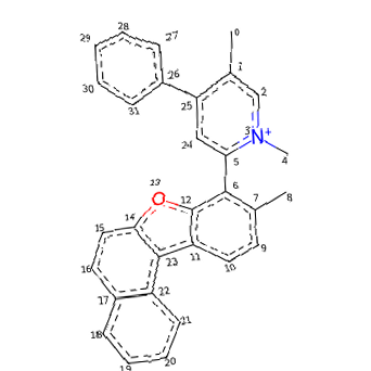 Cc1c[n+](C)c(-c2c(C)ccc3c2oc2ccc4ccccc4c23)cc1-c1ccccc1